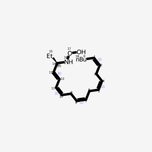 CCCC/C=C\C/C=C\C/C=C\C/C=C\C=C\[C@@H](CC)NOO